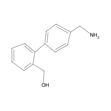 NCc1ccc(-c2ccccc2CO)cc1